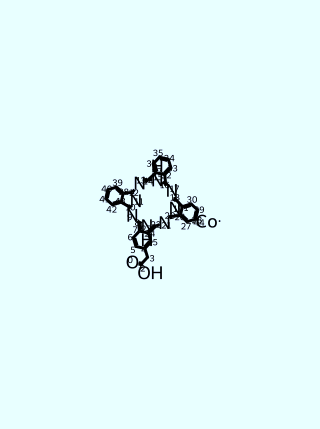 O=C(O)Cc1ccc2c3nc4nc(nc5[nH]c(nc6nc(nc([nH]3)c2c1)-c1ccccc1-6)c1ccccc51)-c1ccccc1-4.[Co]